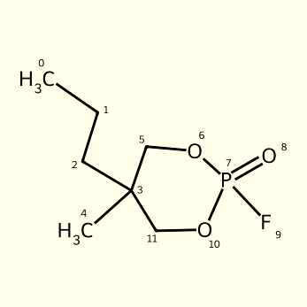 CCCC1(C)COP(=O)(F)OC1